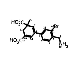 CC1(C(=O)O)C=C(c2ccc(CN)c(Br)c2)C=C(C(=O)O)C1